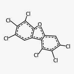 Clc1cc2c(oc3cc(Cl)c(Cl)c(Cl)c32)c(Cl)c1Cl